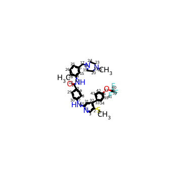 CSc1cnc(Nc2ccc(C(=O)Nc3cc(CN4CCN(C)CC4)ccc3C)cc2)cc1-c1ccc(OC(F)(F)F)cc1